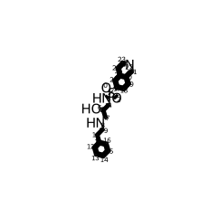 O=S(=O)(NCC(O)CNCCc1ccccc1)c1ccc2cnccc2c1